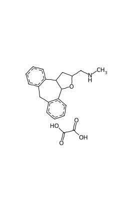 CNCC1CC2c3ccccc3Cc3ccccc3C2O1.O=C(O)C(=O)O